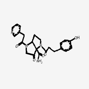 NC(=O)C12C(=O)CN(C(=O)Cc3cccnc3)C1CCN2C(=O)[CH]Cc1ccc(O)cc1